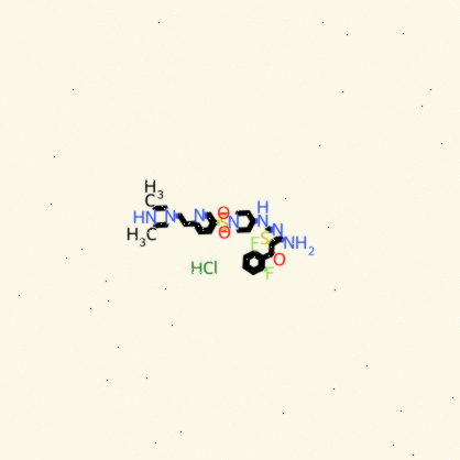 CC1CN(CCc2ccc(S(=O)(=O)N3CCC(Nc4nc(N)c(C(=O)c5c(F)cccc5F)s4)CC3)cn2)CC(C)N1.Cl